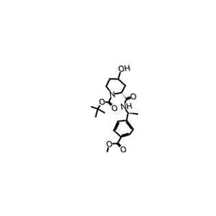 COC(=O)c1ccc([C@H](C)NC(=O)[C@H]2CC(O)CCN2C(=O)OC(C)(C)C)cc1